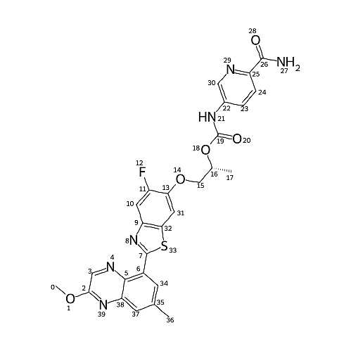 COc1cnc2c(-c3nc4cc(F)c(OC[C@@H](C)OC(=O)Nc5ccc(C(N)=O)nc5)cc4s3)cc(C)cc2n1